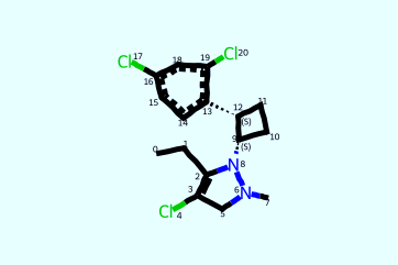 CCC1=C(Cl)CN(C)N1[C@H]1CC[C@H]1c1ccc(Cl)cc1Cl